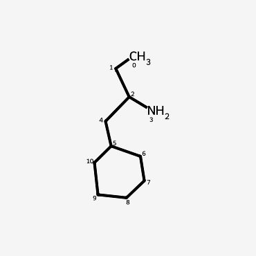 C[CH]C(N)CC1CCCCC1